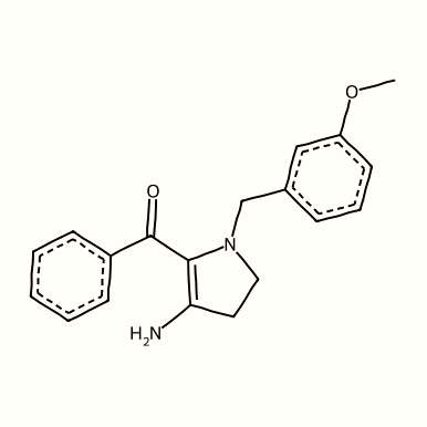 COc1cccc(CN2CCC(N)=C2C(=O)c2ccccc2)c1